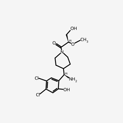 CO[C@H](CO)C(=O)N1CCC([C@@H](N)c2cc(Cl)c(Cl)cc2O)CC1